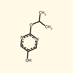 CC(C)Oc1ncc(O)cn1